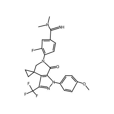 COc1ccc(-n2nc(C(F)(F)F)c3c2C(=O)N(c2ccc(C(=N)N(C)C)cc2F)CC32CC2)cc1